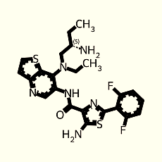 CC[C@H](N)CN(CC)c1c(NC(=O)c2nc(-c3c(F)cccc3F)sc2N)cnc2ccsc12